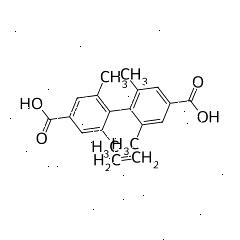 C=C.Cc1cc(C(=O)O)cc(C)c1-c1c(C)cc(C(=O)O)cc1C